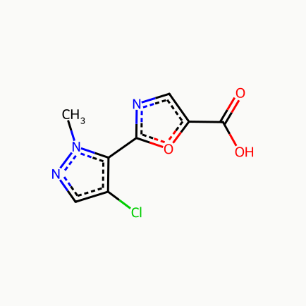 Cn1ncc(Cl)c1-c1ncc(C(=O)O)o1